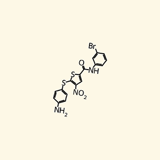 Nc1ccc(Sc2sc(C(=O)Nc3cccc(Br)c3)cc2[N+](=O)[O-])cc1